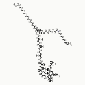 CCCCCCCCC=CCCCCCCCCOP(=O)(CCCNCCCNCCCCNCCCNC(=O)CNC(=O)c1ccc(Cn2c(O)nc3c(N)nc(NCCCC)nc32)cc1)OCCCCCCCC/C=C\CCCCCCCC